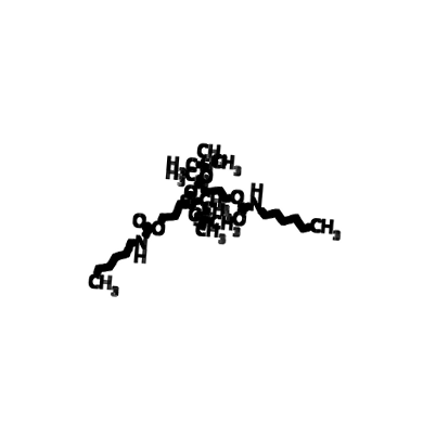 CCCCCCNC(=O)OCCC[Si](C)(O[Si](C)(C)C)O[Si](C)(CCCOC(=O)NCCCCCC)O[Si](C)(C)C